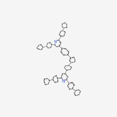 c1ccc(-c2ccc(-c3cc(-c4ccc(-c5cccc(-c6ccc(-c7cc(-c8ccc(-c9ccccc9)cc8)nc(-c8ccc(-c9ccccc9)cc8)c7)cc6)c5)cc4)cc(-c4ccc(-c5ccccc5)cc4)n3)cc2)cc1